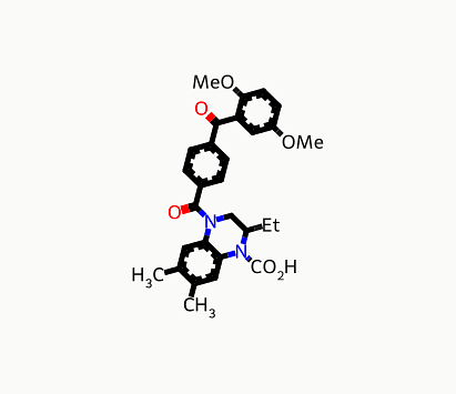 CCC1CN(C(=O)c2ccc(C(=O)c3cc(OC)ccc3OC)cc2)c2cc(C)c(C)cc2N1C(=O)O